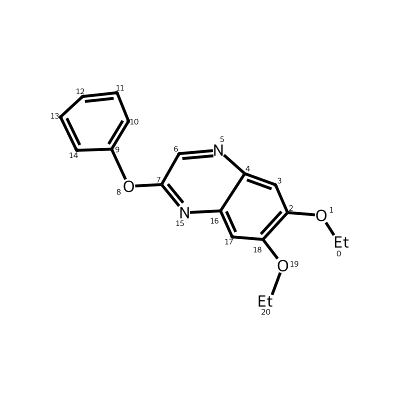 CCOc1cc2ncc(Oc3ccccc3)nc2cc1OCC